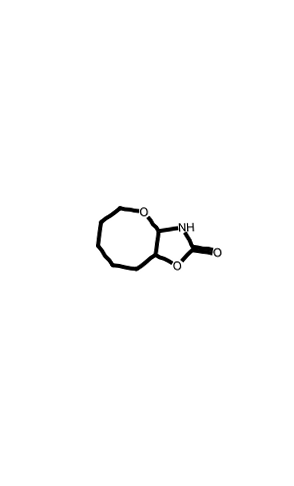 O=C1NC2OCCCCCC2O1